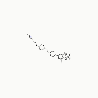 C/C=C/CCCC[C@H]1CC[C@H](CC[C@H]2CC[C@H](c3cc(F)c(OC(F)(F)F)c(F)c3)CC2)CC1